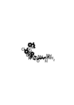 Cc1cc(C)c2cccc(OCc3c(Cl)ccc(S(=O)(=O)NC4(C(=O)N5CCN(C(=O)C(N)CCCCNC(=N)N)CC5)CCCC4)c3Cl)c2n1